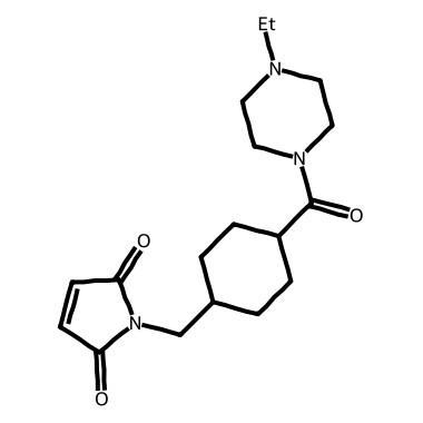 CCN1CCN(C(=O)C2CCC(CN3C(=O)C=CC3=O)CC2)CC1